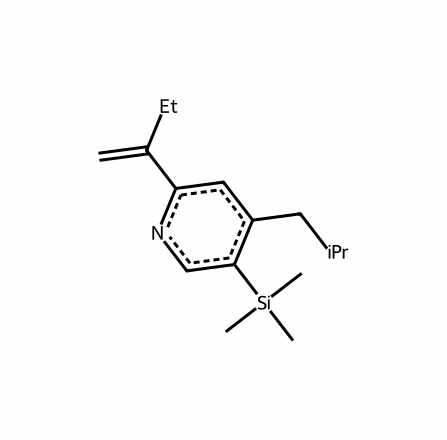 C=C(CC)c1cc(CC(C)C)c([Si](C)(C)C)cn1